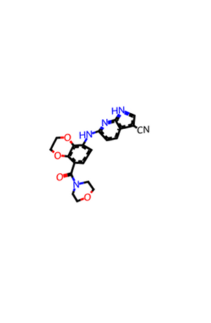 N#Cc1c[nH]c2nc(Nc3ccc(C(=O)N4CCOCC4)c4c3OCCO4)ccc12